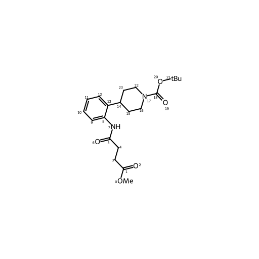 COC(=O)CCC(=O)Nc1ccccc1C1CCN(C(=O)OC(C)(C)C)CC1